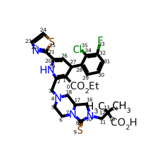 CCOC(=O)C1=C(CN2CCN3C(=S)N(CC(C)(C)C(=O)O)CC3C2)NC(c2nccs2)=CC1c1cccc(F)c1Cl